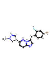 CN1CC(c2ccc3ncc(Cc4ccc(Br)cc4F)n3n2)C=N1